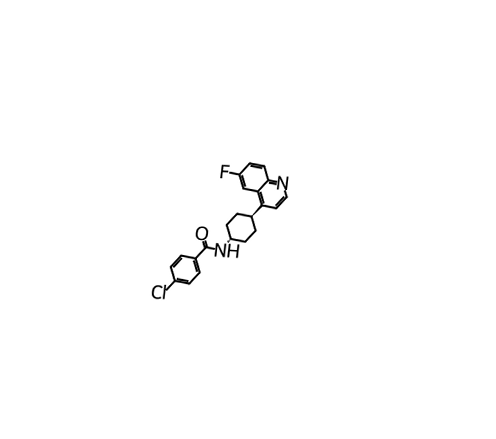 O=C(N[C@H]1CC[C@H](c2ccnc3ccc(F)cc32)CC1)c1ccc(Cl)cc1